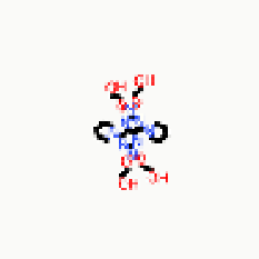 OCCON(OCCO)c1nc(N2CCCCC2)c2nc(N(OCCO)OCCO)nc(N3CCCCC3)c2n1